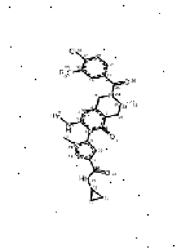 CC(C)Nc1nc2c(c(=O)n1-c1cc(C(=O)NC3CC3)nn1C)C[C@@H](C)N(C(=O)c1ccc(Cl)c(C(F)(F)F)c1)C2